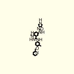 CNc1ccc(NC2=NC3CNCC3O2)cc1C(=N)Nc1ccc(OCc2ccccn2)c(C)c1